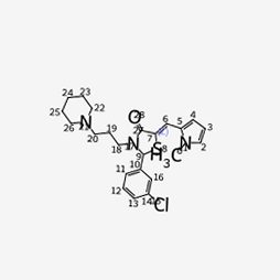 Cn1cccc1/C=C1\SC(c2cccc(Cl)c2)N(CCCN2CCCCC2)C1=O